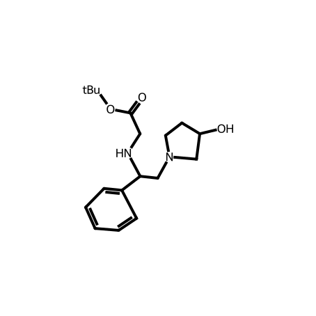 CC(C)(C)OC(=O)CNC(CN1CCC(O)C1)c1ccccc1